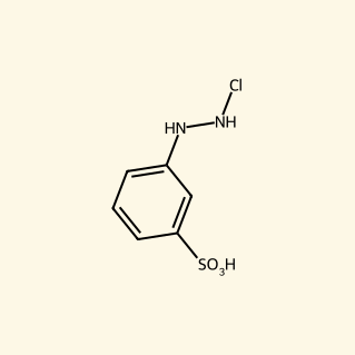 O=S(=O)(O)c1cccc(NNCl)c1